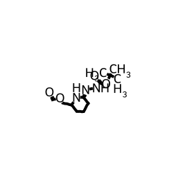 CC(C)(C)OC(=O)NN=C1CCCC(COC=O)N1